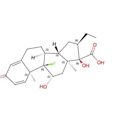 CC[C@@H]1C[C@H]2[C@@H]3CCC4=CC(=O)C=C[C@]4(C)[C@@]3(F)[C@@H](O)C[C@]2(C)[C@@]1(O)C(=O)O